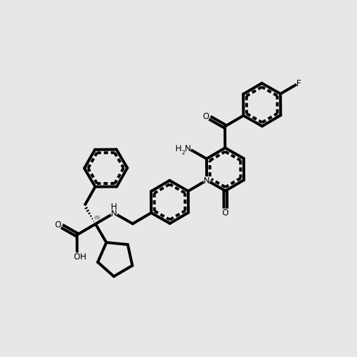 Nc1c(C(=O)c2ccc(F)cc2)ccc(=O)n1-c1ccc(CN[C@](Cc2ccccc2)(C(=O)O)C2CCCC2)cc1